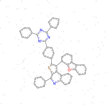 c1ccc(-c2nc(-c3ccccc3)nc(-c3ccc(-c4sc5c(-c6ccccc6)nc6ccccc6c5c4-c4cccc5c4oc4ccccc45)cc3)n2)cc1